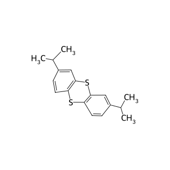 CC(C)c1ccc2c(c1)Sc1cc(C(C)C)ccc1S2